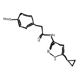 CSc1ccc(CC(=O)Nc2cc(C3CC3)[nH]n2)cc1